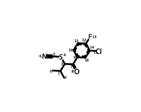 CC(C)C(SC#N)C(=O)c1ccc(F)c(Cl)c1